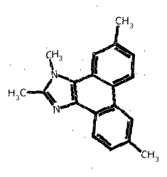 Cc1ccc2c(c1)c1ccc(C)cc1c1c2nc(C)n1C